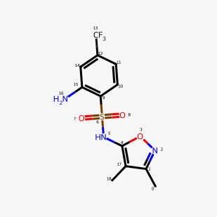 Cc1noc(NS(=O)(=O)c2ccc(C(F)(F)F)cc2N)c1C